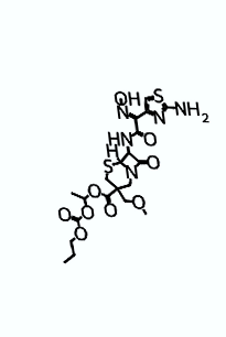 CCCOC(=O)OC(C)OC(=O)C1(COC)CS[C@@H]2C(NC(=O)C(=NO)c3csc(N)n3)C(=O)N2C1